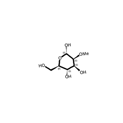 CO[C@H]1[C@@H](O)[C@H](O)[C@@H](CO)O[C@@H]1O